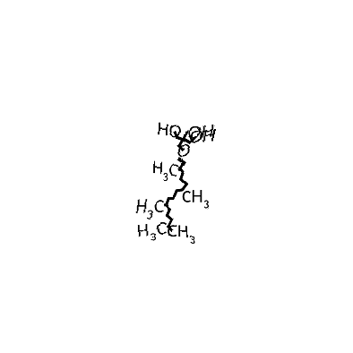 C/C(=C\COCC(CO)(CO)CO)CCCC(C)CCCC(C)CCCC(C)C